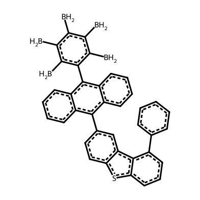 Bc1c(B)c(B)c(-c2c3ccccc3c(-c3ccc4sc5cccc(-c6ccccc6)c5c4c3)c3ccccc23)c(B)c1B